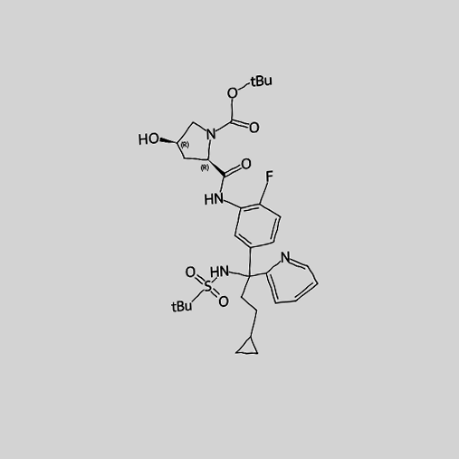 CC(C)(C)OC(=O)N1C[C@H](O)C[C@@H]1C(=O)Nc1cc(C(CCC2CC2)(NS(=O)(=O)C(C)(C)C)c2ccccn2)ccc1F